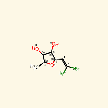 C[C@@H]1O[C@H](C=C(Br)Br)[C@H](O)C1O